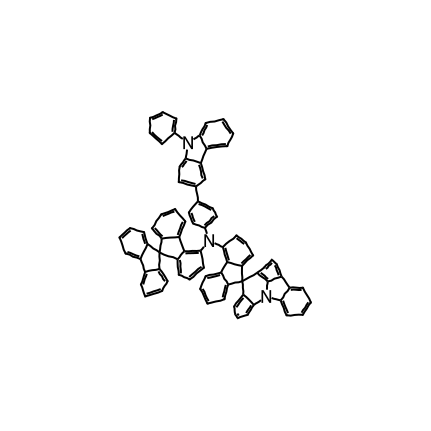 c1ccc(-n2c3ccccc3c3cc(-c4ccc(N(c5cccc6c5-c5ccccc5C65c6ccccc6-c6ccccc65)c5cccc6c5-c5ccccc5C65c6ccccc6-n6c7ccccc7c7cccc5c76)cc4)ccc32)cc1